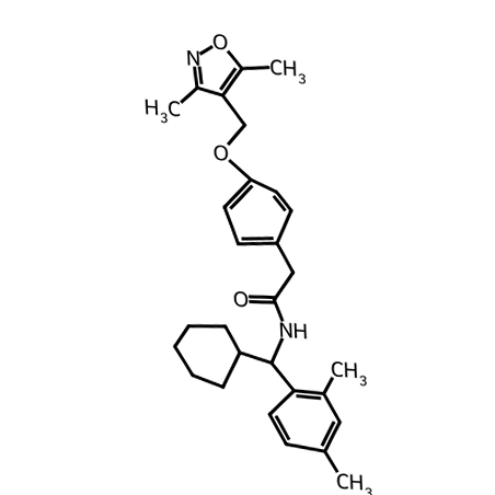 Cc1ccc(C(NC(=O)Cc2ccc(OCc3c(C)noc3C)cc2)C2CCCCC2)c(C)c1